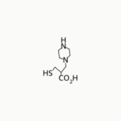 O=C(O)C(CS)CN1CCNCC1